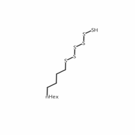 CCCCCCCCCCSSSSSS